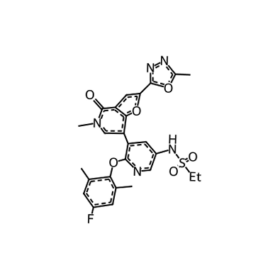 CCS(=O)(=O)Nc1cnc(Oc2c(C)cc(F)cc2C)c(-c2cn(C)c(=O)c3cc(-c4nnc(C)o4)oc23)c1